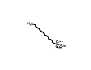 CO[Si](CCCCCCCCCCN)(OC)OC